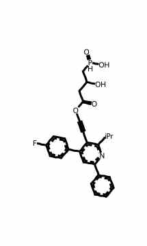 CC(C)c1nc(-c2ccccc2)cc(-c2ccc(F)cc2)c1C#COC(=O)CC(O)C[PH](=O)O